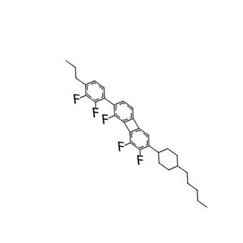 CCCCCC1CCC(c2cc3c(c(F)c2F)-c2c-3ccc(-c3ccc(CCC)c(F)c3F)c2F)CC1